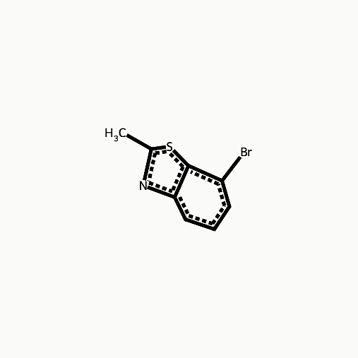 Cc1nc2cccc(Br)c2s1